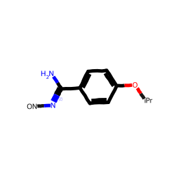 CC(C)Oc1ccc(/C(N)=N/N=O)cc1